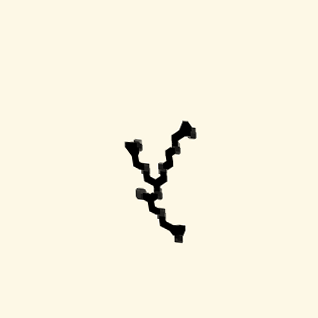 O=C(CSCC1CS1)SC(CSCCSCC1CS1)CSCC1CS1